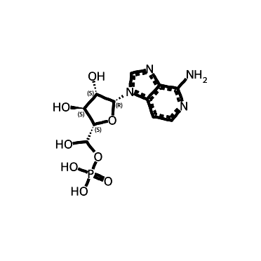 Nc1nccc2c1ncn2[C@@H]1O[C@H](C(O)OP(=O)(O)O)[C@@H](O)[C@@H]1O